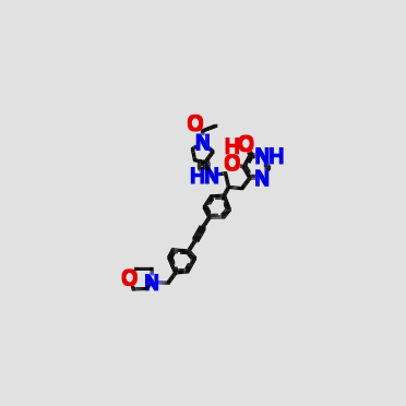 CC(=O)N1CC[C@H](NCC(Cc2nc[nH]c(=O)c2O)c2ccc(C#Cc3ccc(CN4CCOCC4)cc3)cc2)C1